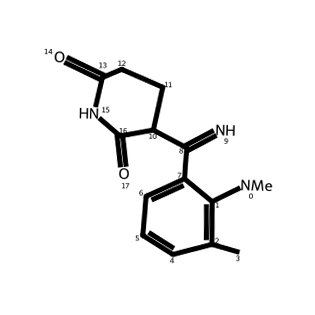 CNc1c(C)cccc1C(=N)C1CCC(=O)NC1=O